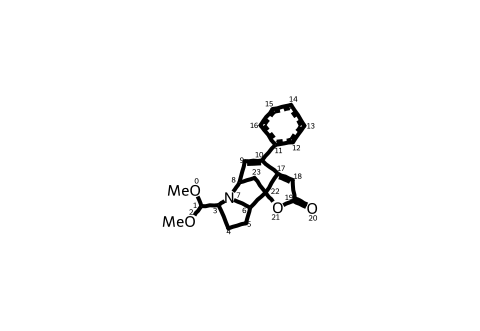 COC(OC)C1CCC2N1C1C=C(c3ccccc3)C3=CC(=O)OC32C1